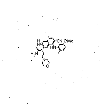 COc1ccc(C)c(Nc2c(C#N)cnc3cc(N)c(N(CCN4CCOCC4)C(N)=S)cc23)c1